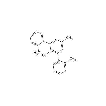 Cc1cc(-c2ccccc2C)[c]([Cu])c(-c2ccccc2C)c1